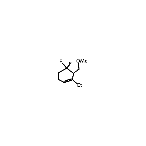 CCC1=CCCC(F)(F)[C@H]1COC